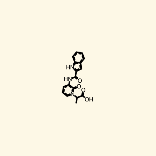 CC(C(=O)O)n1cccc(NC(=O)c2cc3ccccc3[nH]2)c1=O